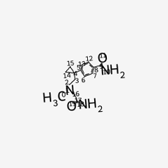 CN(CCC1(c2ccc(C(N)=O)cc2)CC1)CC(N)=O